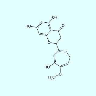 COC1=CCC=C(C2CC(=O)c3c(O)cc(O)cc3O2)C=C1O